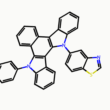 c1ccc(-n2c3ccccc3c3c2c2ccccc2c2c4ccccc4n(-c4ccc5scnc5c4)c23)cc1